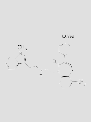 COc1ccc(C2=CCc3c(cccc3C(F)(F)F)N(CCNCCc3cn(C)c4ccccc34)C2=O)cc1